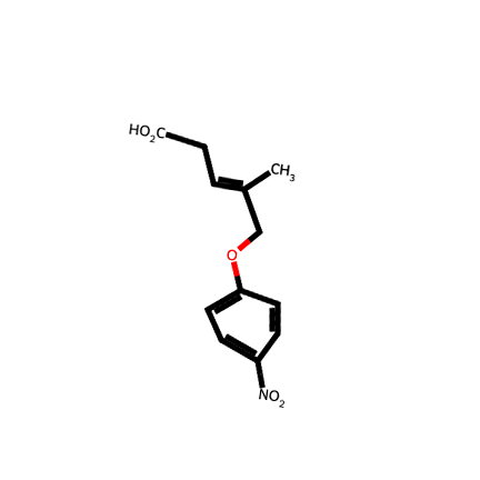 CC(=CCC(=O)O)COc1ccc([N+](=O)[O-])cc1